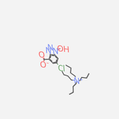 CCCC[N+](CCCC)(CCCC)CCCC.O=C([O-])c1cc(Cl)cc2c1nnn2O